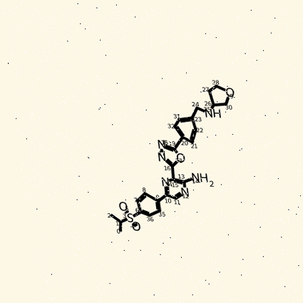 CC(C)S(=O)(=O)c1ccc(-c2cnc(N)c(-c3nnc(-c4ccc(CNC5CCOC5)cc4)o3)n2)cc1